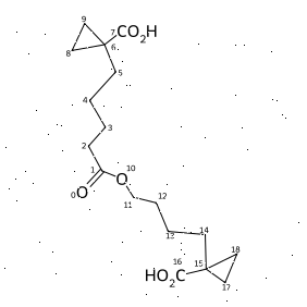 O=C(CCCCC1(C(=O)O)CC1)OCCCCC1(C(=O)O)CC1